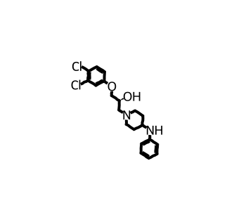 O[C@@H](COc1ccc(Cl)c(Cl)c1)CN1CCC(Nc2ccccc2)CC1